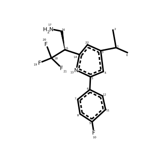 CC(C)c1cc(-c2ccc(F)cc2)nc([C@H](CN)C(F)(F)F)c1